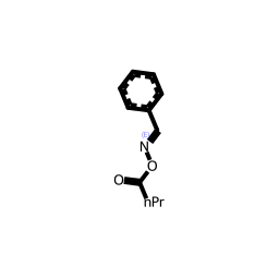 CCCC(=O)O/N=C/c1ccccc1